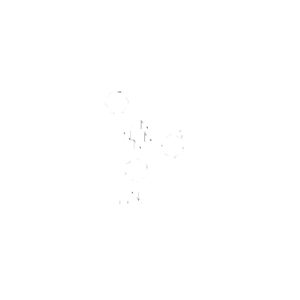 O=[N+]([O-])c1ccc(-[n+]2nc(-c3ccccc3)nn2-c2ccccc2)cc1.[Cl-]